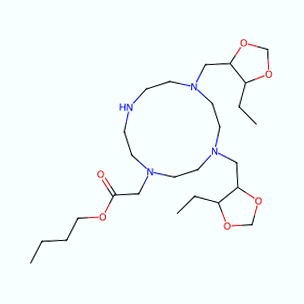 CCCCOC(=O)CN1CCNCCN(CC2OCOC2CC)CCN(CC2OCOC2CC)CC1